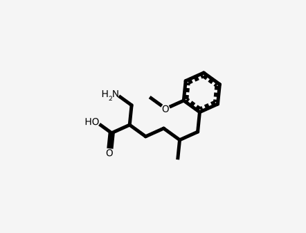 COc1ccccc1CC(C)CCC(CN)C(=O)O